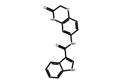 O=C1COc2ccc(NC(=O)c3c[nH]c4ccccc34)cc2N1